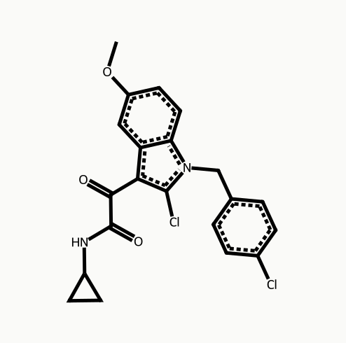 COc1ccc2c(c1)c(C(=O)C(=O)NC1CC1)c(Cl)n2Cc1ccc(Cl)cc1